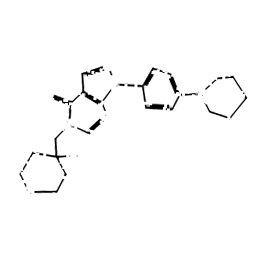 O=c1c2cnn(-c3ccc(N4CCCCC4)cc3)c2ncn1CC1(O)CCNCC1